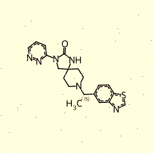 C[C@@H](c1ccc2scnc2c1)N1CCC2(CC1)CN(c1cccnn1)C(=O)N2